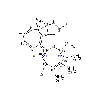 CCCC(C)(CC)C1(C)C=CC=CC(/C2=C(\C)C(C)/C(N)=C(N)\C(N)=C(\CC)C2)=C1